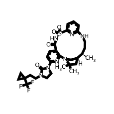 C[C@H]1CCNc2cccc(n2)S(=O)(=O)NC(=O)c2ccc(N3CCN(CCC4(C(F)(F)F)CC4)C3=O)nc2N2C[C@@H]1CC2(C)C